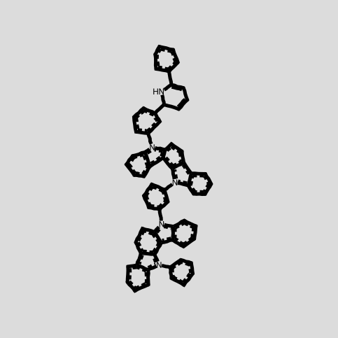 C1=CC(c2cccc(-n3c4ccccc4c4c3ccc3c5ccccc5n(-c5cccc(-n6c7ccccc7c7c6ccc6c8ccccc8n(-c8ccccc8)c67)c5)c34)c2)NC(c2ccccc2)=C1